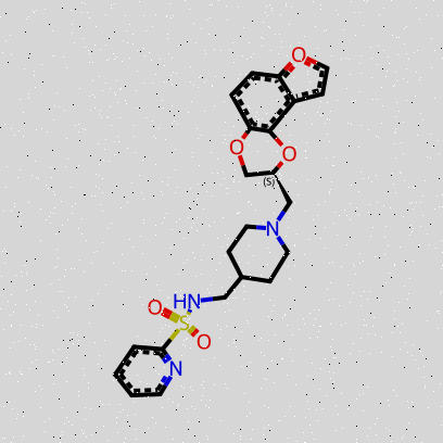 O=S(=O)(NCC1CCN(C[C@H]2COc3ccc4occc4c3O2)CC1)c1ccccn1